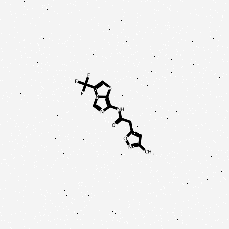 Cc1cc(CC(=O)Nc2ncn3c(C(F)(F)F)csc23)on1